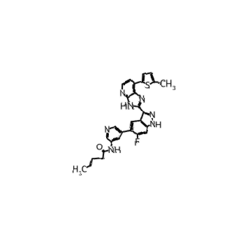 CCCCC(=O)Nc1cncc(-c2cc3c(-c4nc5c(-c6ccc(C)s6)ccnc5[nH]4)n[nH]c3cc2F)c1